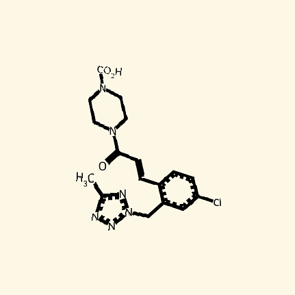 Cc1nnn(Cc2cc(Cl)ccc2C=CC(=O)N2CCN(C(=O)O)CC2)n1